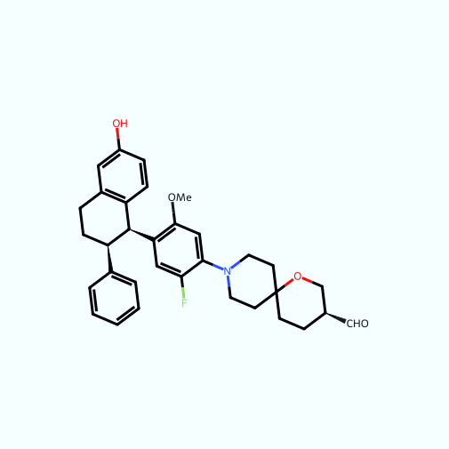 COc1cc(N2CCC3(CC[C@H](C=O)CO3)CC2)c(F)cc1[C@@H]1c2ccc(O)cc2CC[C@@H]1c1ccccc1